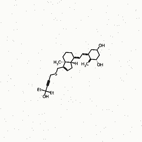 C=C1C(=CC=C2CCC[C@]3(C)C(CSCC#CC(O)(CC)CC)=CC[C@@H]23)C[C@@H](O)C[C@@H]1O